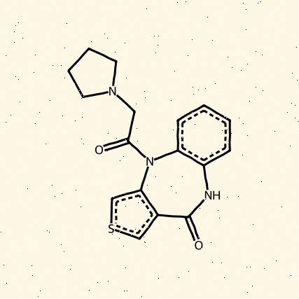 O=C1Nc2ccccc2N(C(=O)CN2CCCC2)c2cscc21